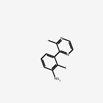 [CH2]c1nccnc1-c1cccc([N+](=O)[O-])c1F